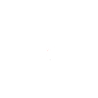 CCOC(=O)C1CCCCC1(C)C(=O)OCC